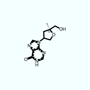 C[C@@]1(CO)CC(n2cnc3c(=O)[nH]cnc32)CO1